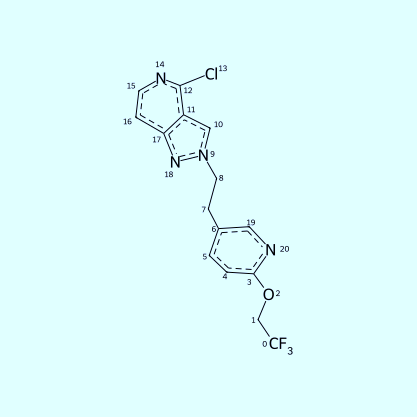 FC(F)(F)COc1ccc(CCn2cc3c(Cl)nccc3n2)cn1